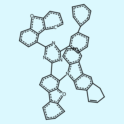 C1=Cc2cc3c(cc2CC1)c1ccccc1n3-c1c(-c2nc(-c3cccc(-c4ccccc4)c3)nc(-c3cccc4oc5ccccc5c34)n2)ccc2c1oc1ccccc12